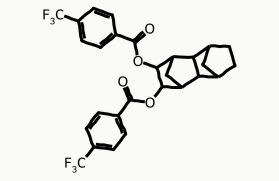 O=C(OC1C2CC(C1OC(=O)c1ccc(C(F)(F)F)cc1)C1C3CCC(C3)C21)c1ccc(C(F)(F)F)cc1